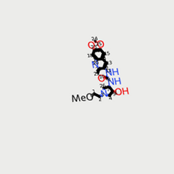 COCCN1CC(O)C(NC(=O)Nc2cc3cc4c(cc3nc2C)OCO4)C1